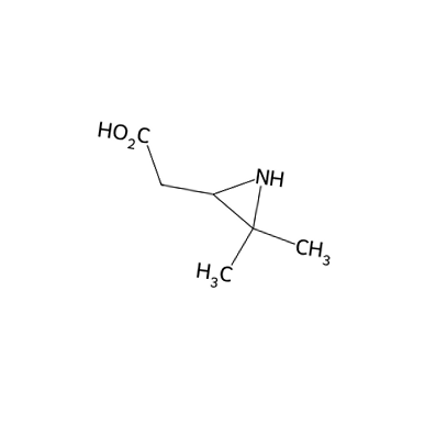 CC1(C)NC1CC(=O)O